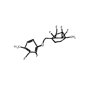 Cc1ccc(OCC23CCC(C)(CC2)C(F)(F)C3(F)F)c(F)c1F